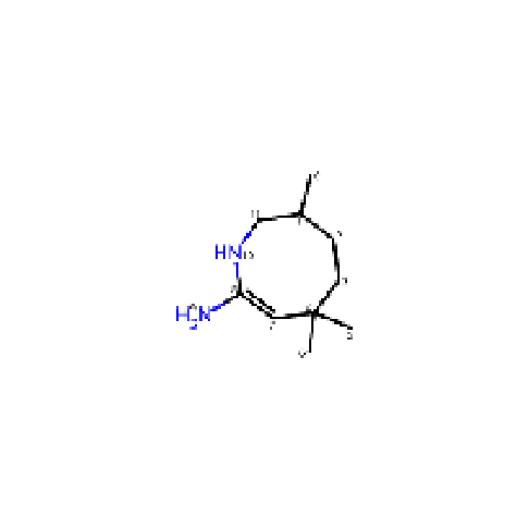 CC1CCC(C)(C)/C=C(/N)NC1